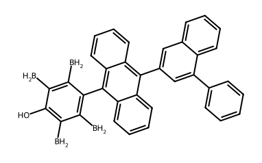 Bc1c(B)c(-c2c3ccccc3c(-c3cc(-c4ccccc4)c4ccccc4c3)c3ccccc23)c(B)c(B)c1O